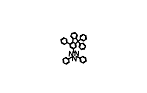 c1ccc(-c2nc(-c3ccccc3)nc(-c3cc(-c4ccccc4)c4c(c3)C(c3ccccc3)(c3ccccc3)c3ccccc3-4)n2)cc1